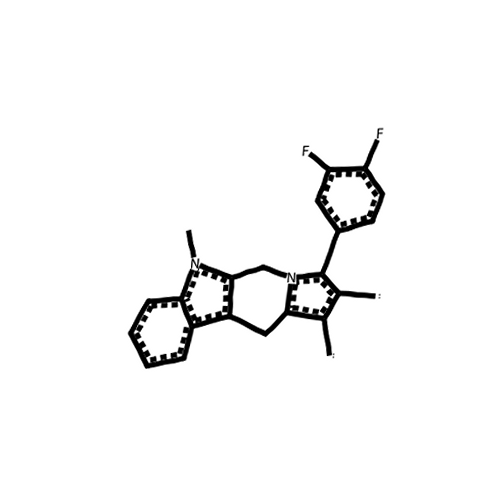 [CH]c1c([CH])c(-c2ccc(F)c(F)c2)n2c1Cc1c(n(C)c3ccccc13)C2